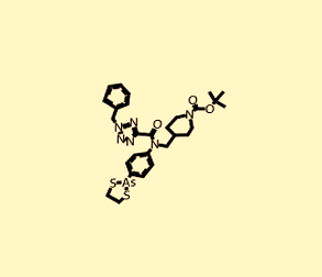 CC(C)(C)OC(=O)N1CCC(CN(C(=O)c2nnn(Cc3ccccc3)n2)c2ccc([As]3SCCS3)cc2)CC1